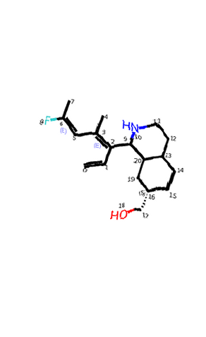 C=C/C(=C(C)\C=C(/C)F)C1NCCC2CC[C@H](CO)CC21